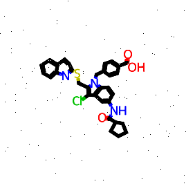 O=C(O)c1ccc(Cn2c(CSc3ccc4ccccc4n3)c(Cl)c3cc(NC(=O)C4CCCC4)ccc32)cc1